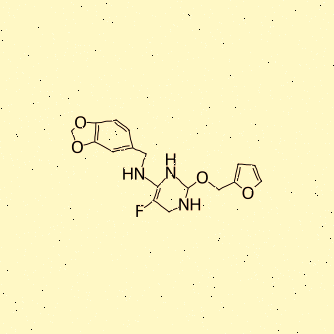 FC1=C(NCc2ccc3c(c2)OCO3)NC(OCc2ccco2)NC1